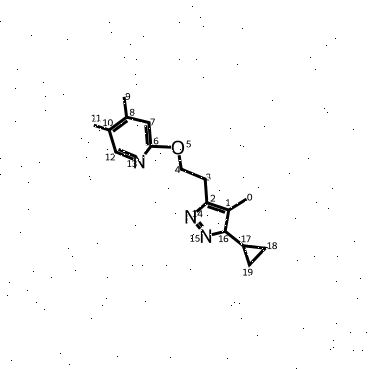 CC1=C(CCOc2cc(C)c(C)cn2)N=NC1C1CC1